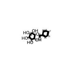 O=C(O[C@H]1[C@H](O)[C@@H](O)[C@H](O)[C@@H](O)[C@@H]1O)c1ccccc1